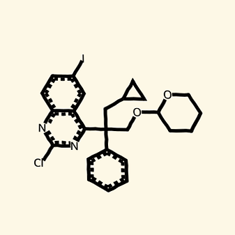 Clc1nc(C(COC2CCCCO2)(CC2CC2)c2ccccc2)c2cc(I)ccc2n1